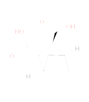 O=C(O)[C@@H]1[C@@H](C(=O)O)[C@H]2C=C[C@@H]1C2